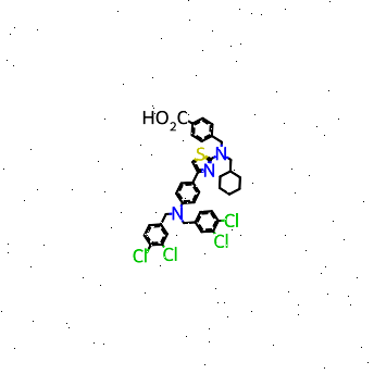 O=C(O)c1ccc(CN(CC2CCCCC2)c2nc(-c3ccc(N(Cc4ccc(Cl)c(Cl)c4)Cc4ccc(Cl)c(Cl)c4)cc3)cs2)cc1